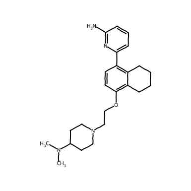 CN(C)C1CCN(CCOc2ccc(-c3cccc(N)n3)c3c2CCCC3)CC1